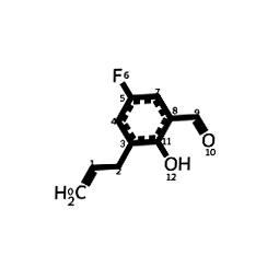 C=CCc1cc(F)cc(C=O)c1O